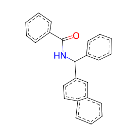 O=C(NC(c1ccccc1)c1ccc2ccccc2c1)c1ccccc1